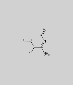 C=C/N=C(/N)C(C)CC